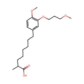 COCCCOc1cc(CCCCCCC(C)C(=O)O)ccc1OC